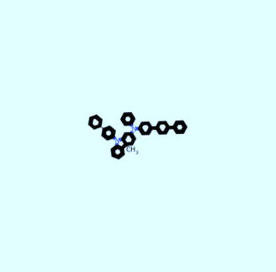 CC12CC=C(N(C3=CC=C(C4=CC=C(c5ccccc5)CC4)CC3)c3ccccc3)C=C1N(c1ccc([C@H]3C=CC=CC3)cc1)c1ccccc12